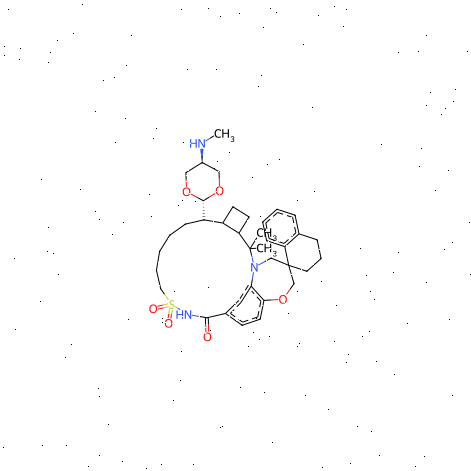 CN[C@H]1CO[C@H](C2CCCCCS(=O)(=O)NC(=O)c3ccc4c(c3)N(CC3(CCCc5ccccc53)CO4)C(C)(C)C3CCC32)OC1